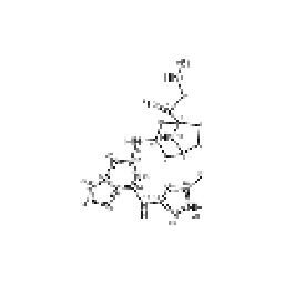 CCNCC(=O)C12CCC(CC(Nc3nc(Nc4cc(C)[nH]n4)c4ccsc4n3)C1)N2